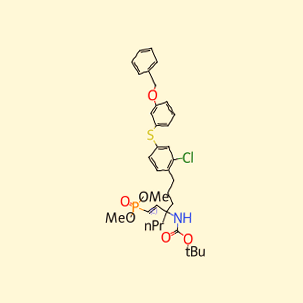 CCCC(/C=C/P(=O)(OC)OC)(CCCc1ccc(Sc2cccc(OCc3ccccc3)c2)cc1Cl)NC(=O)OC(C)(C)C